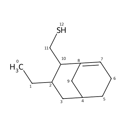 CCC1CC2CCC=C(C2)C1CS